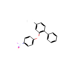 Cc1ccc(-c2ccccc2)c(Oc2ccc([N+](=O)[O-])cc2)c1